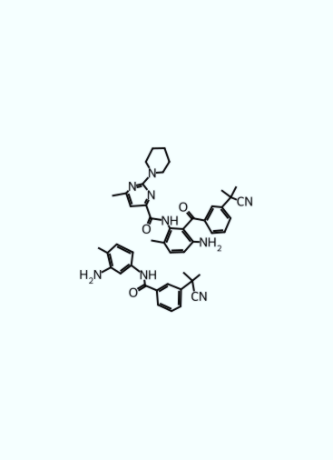 Cc1cc(C(=O)Nc2c(C)ccc(N)c2C(=O)c2cccc(C(C)(C)C#N)c2)nc(N2CCCCC2)n1.Cc1ccc(NC(=O)c2cccc(C(C)(C)C#N)c2)cc1N